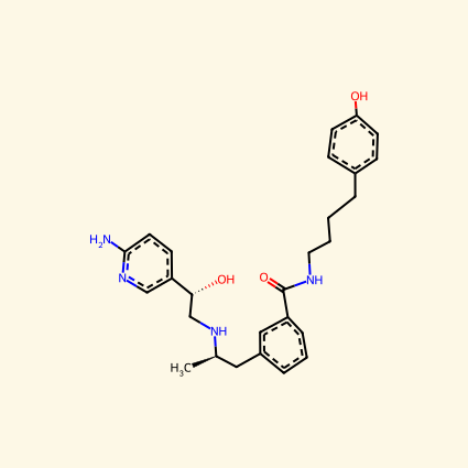 C[C@H](Cc1cccc(C(=O)NCCCCc2ccc(O)cc2)c1)NC[C@@H](O)c1ccc(N)nc1